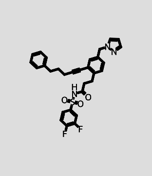 O=C(CCc1ccc(Cn2cccn2)cc1C#CCCCc1ccccc1)NS(=O)(=O)c1ccc(F)c(F)c1